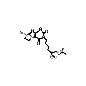 CC(=O)N1CCn2c1nc1c2c(=O)n(CCCC[C@@H](CO[SiH](C)C)C(C)(C)C)c(=O)n1C